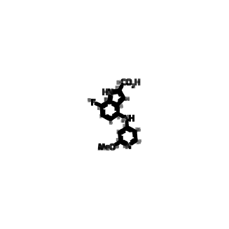 COc1cc(Nc2ccc(F)c3[nH]c(C(=O)O)cc23)ccn1